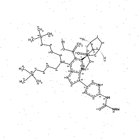 C=C(OCC)c1c([C@H]2C[C@H]3CC[C@@H](C2)N3C(=O)OC(C)(C)C)nc2c(-c3ccc(NC(=O)NC)nc3)cnn2c1N(COCC[Si](C)(C)C)COCC[Si](C)(C)C